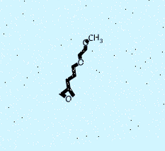 COCCOCCCC1COC1